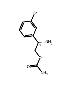 NC(=O)OC[C@@H](N)c1cccc(Br)c1